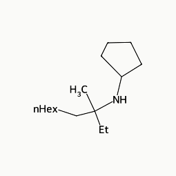 CCCCCCCC(C)(CC)NC1CCCC1